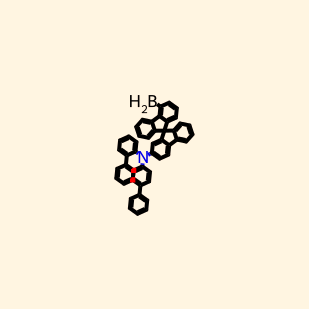 Bc1cccc2c1-c1ccccc1C21c2ccccc2-c2ccc(N(c3ccc(-c4ccccc4)cc3)c3ccccc3-c3ccccc3)cc21